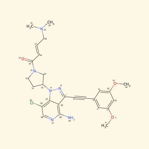 COc1cc(C#Cc2nn(C3CCN(C(=O)C=CCN(C)C)C3)c3c(Cl)cnc(N)c23)cc(OC)c1